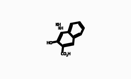 O=C(O)c1cc2ccccc2cc1O.[KH].[KH]